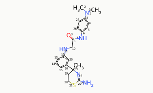 CN(C)c1ccc(NC(=O)CNc2cccc(C3(C)CCSC(N)=N3)c2)cc1